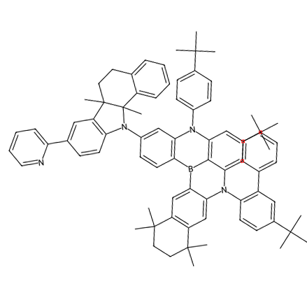 CC(C)(C)c1ccc(N2c3cc(N4c5ccc(-c6ccccn6)cc5C5(C)CCc6ccccc6C45C)ccc3B3c4cc5c(cc4N(c4ccc(C(C)(C)C)cc4-c4ccccc4)c4cc(C(C)(C)C)cc2c43)C(C)(C)CCC5(C)C)cc1